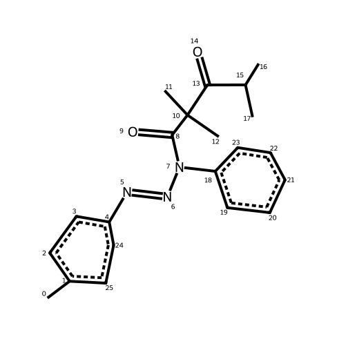 Cc1ccc(N=NN(C(=O)C(C)(C)C(=O)C(C)C)c2ccccc2)cc1